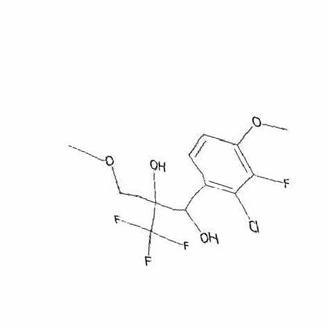 COCC(O)(C(O)c1ccc(OC)c(F)c1Cl)C(F)(F)F